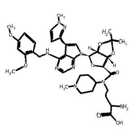 COc1ccc(CNc2ncnc3c2c(-c2ccn(C)n2)cn3[C@@H]2O[C@H](C(=O)N(CCC(N)C(=O)O)C3CCN(C)CC3)[C@H]3OC(C)(C)O[C@H]32)c(OC)c1